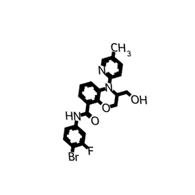 Cc1ccc(N2c3cccc(C(=O)Nc4ccc(Br)c(F)c4)c3OCC2CO)nc1